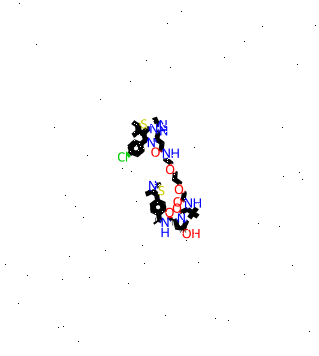 Cc1ncsc1-c1ccc([C@H](C)NC(=O)[C@@H]2C[C@@H](O)CN2C(=O)C(NC(=O)COCCCOCCNC(=O)CC2N=C(c3ccc(Cl)cc3)c3c(sc(C)c3C)-n3c(C)nnc32)C(C)(C)C)cc1